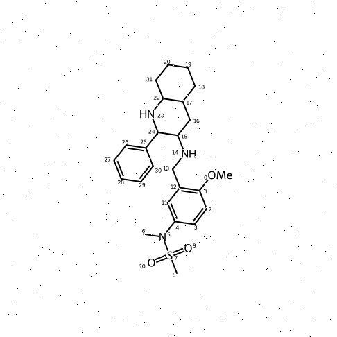 COc1ccc(N(C)S(C)(=O)=O)cc1CNC1CC2CCCCC2NC1c1ccccc1